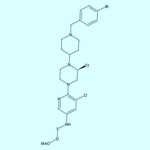 CC[C@H]1CN(c2ncc(NSOOC)cc2Cl)CCN1C1CCN(Cc2ccc(Br)cc2)CC1